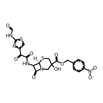 O=CNc1nc(C(=O)C(=O)NC2C(=O)N3CC(O)(C(=O)OCc4ccc([N+](=O)[O-])cc4)CS[C@H]23)cs1